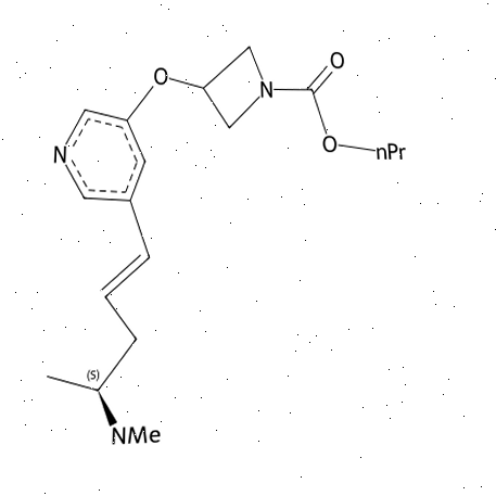 CCCOC(=O)N1CC(Oc2cncc(C=CC[C@H](C)NC)c2)C1